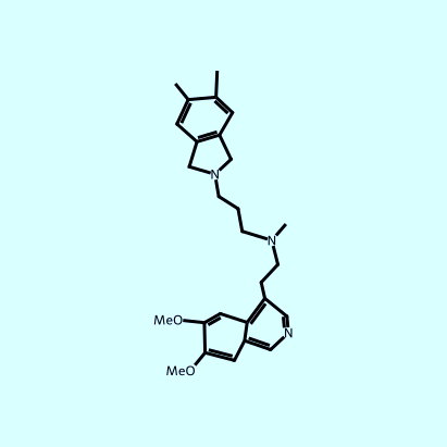 COc1cc2cncc(CCN(C)CCCN3Cc4cc(C)c(C)cc4C3)c2cc1OC